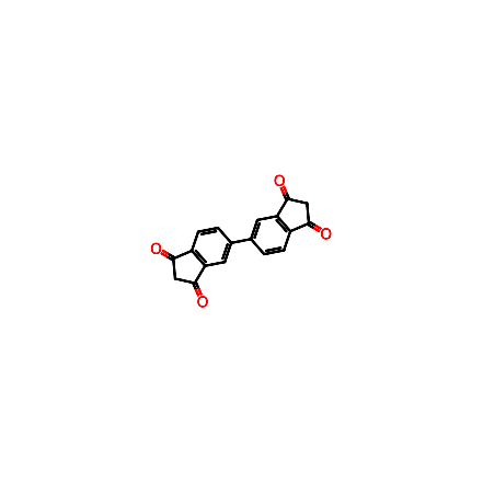 O=C1CC(=O)c2cc(-c3ccc4c(c3)C(=O)CC4=O)ccc21